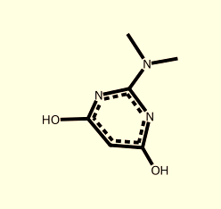 CN(C)c1nc(O)cc(O)n1